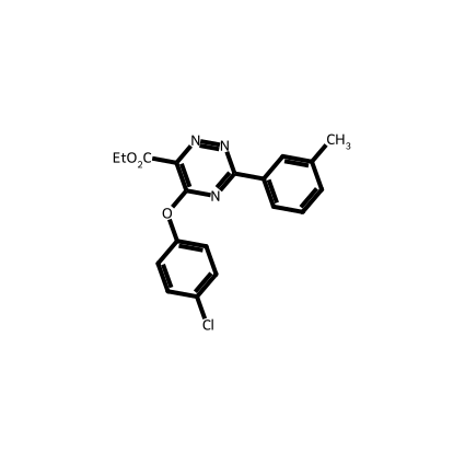 CCOC(=O)c1nnc(-c2cccc(C)c2)nc1Oc1ccc(Cl)cc1